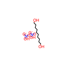 O=[N+]([O-])O.O=[N+]([O-])O.OCCCCCCCCCCO